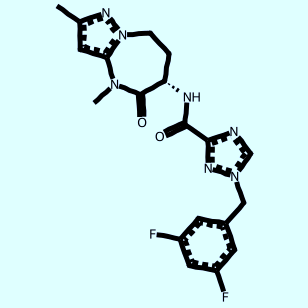 Cc1cc2n(n1)CC[C@H](NC(=O)c1ncn(Cc3cc(F)cc(F)c3)n1)C(=O)N2C